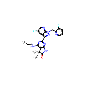 C[C@]1(C(F)(F)F)C(=O)Nc2nc(-c3nn(Cc4ncccc4F)c4ncc(F)cc34)nc(NCCC(F)(F)F)c21